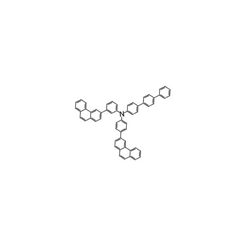 c1ccc(-c2ccc(-c3ccc(N(c4ccc(-c5ccc6ccc7ccccc7c6c5)cc4)c4cccc(-c5ccc6ccc7ccccc7c6c5)c4)cc3)cc2)cc1